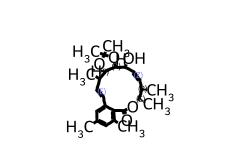 Cc1cc(C)c2c(c1)/C=C/C(C)[C@@H]1OC(C)(C)O[C@@H]1C(O)/C=C\[C@@H](C)[C@H](C)OC2=O